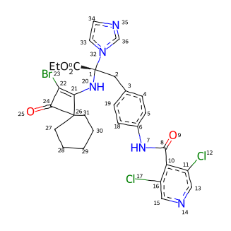 CCOC(=O)[C@@](Cc1ccc(NC(=O)c2c(Cl)cncc2Cl)cc1)(NC1=C(Br)C(=O)C12CCCCC2)n1ccnc1